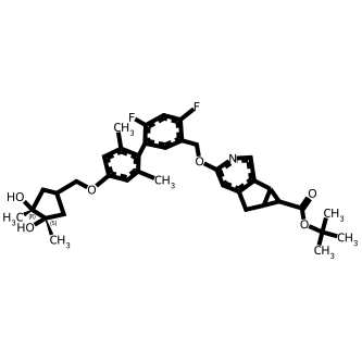 Cc1cc(OCC2C[C@](C)(O)[C@](C)(O)C2)cc(C)c1-c1cc(COc2cc3c(cn2)C2C(C3)C2C(=O)OC(C)(C)C)c(F)cc1F